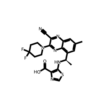 Cc1cc([C@@H](C)Nc2scnc2C(=O)O)c2nc(N3CCC(F)(F)CC3)c(C#N)nc2c1